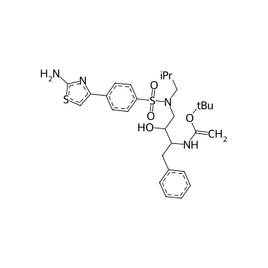 C=C(NC(Cc1ccccc1)C(O)CN(CC(C)C)S(=O)(=O)c1ccc(-c2csc(N)n2)cc1)OC(C)(C)C